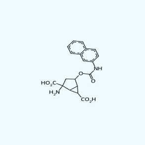 NC1(C(=O)O)CC(OC(=O)Nc2ccc3ccccc3c2)C2C(C(=O)O)C21